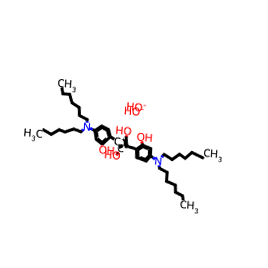 CCCCCCCN(CCCCCCC)c1ccc(-c2c(O)[c+](-c3ccc(N(CCCCCCC)CCCCCCC)cc3O)[c+]2O)c(O)c1.[OH-].[OH-]